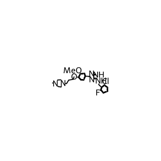 COc1cc(-c2n[nH]c(NCc3c(F)cccc3Cl)n2)ccc1OCCCN1CCN(C)CC1